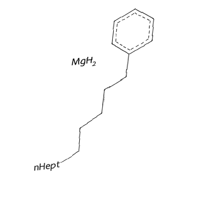 CCCCCCCCCCCCc1ccccc1.[MgH2]